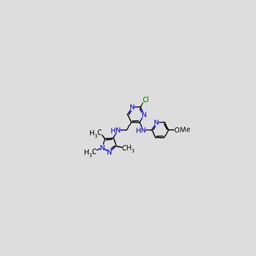 COc1ccc(Nc2nc(Cl)ncc2CNc2c(C)nn(C)c2C)nc1